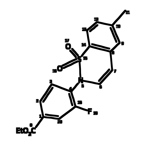 CCOC(=O)c1ccc(N2C=Cc3cc(C)ccc3S2(=O)=O)c(F)c1